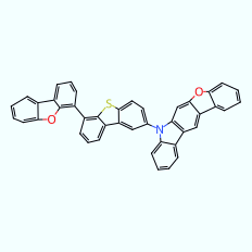 c1ccc2c(c1)oc1cc3c(cc12)c1ccccc1n3-c1ccc2sc3c(-c4cccc5c4oc4ccccc45)cccc3c2c1